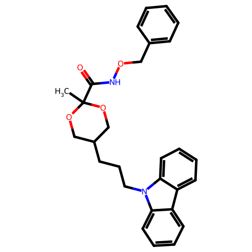 CC1(C(=O)NOCc2ccccc2)OCC(CCCn2c3ccccc3c3ccccc32)CO1